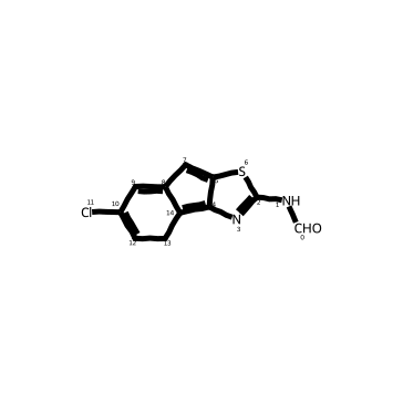 O=CNc1nc2c(s1)=CC1=CC(Cl)=CCC=21